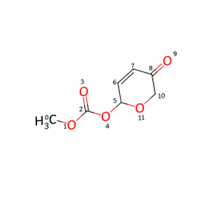 COC(=O)OC1C=CC(=O)CO1